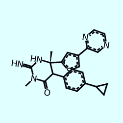 CN1C(=N)N[C@](C)(c2cc(-c3cnccn3)cs2)C(c2ccc(C3CC3)cc2)C1=O